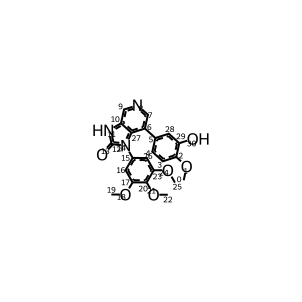 COc1ccc(-c2cncc3[nH]c(=O)n(-c4cc(OC)c(OC)c(OC)c4)c23)cc1O